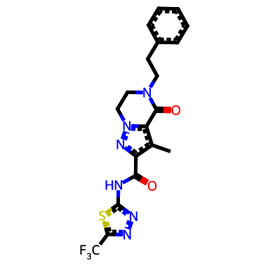 Cc1c(C(=O)Nc2nnc(C(F)(F)F)s2)nn2c1C(=O)N(CCc1ccccc1)CC2